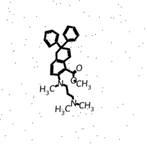 COC(=O)c1c(N(C)CCCN(C)C)ccc2c1C=CC(c1ccccc1)(c1ccccc1)C2